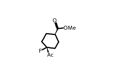 COC(=O)[C@H]1CC[C@@](F)(C(C)=O)CC1